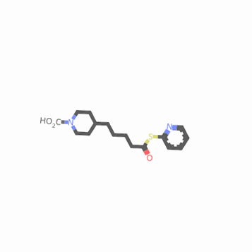 O=C(CCCCC1CCN(C(=O)O)CC1)Sc1ccccn1